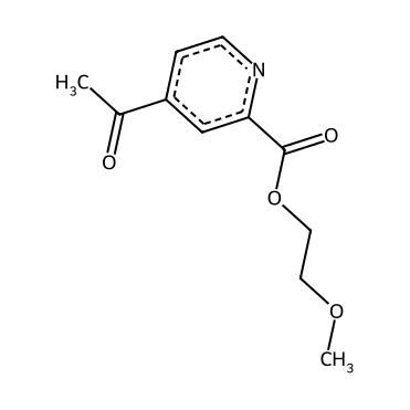 COCCOC(=O)c1cc(C(C)=O)ccn1